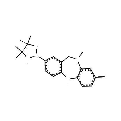 Cc1ccc2c(c1)N(C)Cc1cc(B3OC(C)(C)C(C)(C)O3)ccc1O2